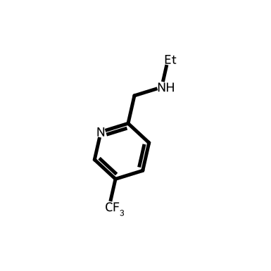 CCNCc1ccc(C(F)(F)F)cn1